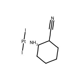 N.N#CC1CCCCC1.[I][Pt][I]